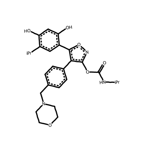 CC(C)NC(=O)Oc1noc(-c2cc(C(C)C)c(O)cc2O)c1-c1ccc(CN2CCOCC2)cc1